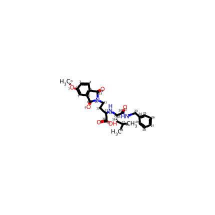 COc1ccc2c(c1)C(=O)N(CCC(N[C@@H](CC(C)C)C(=O)NCc1ccccc1)C(=O)O)C2=O